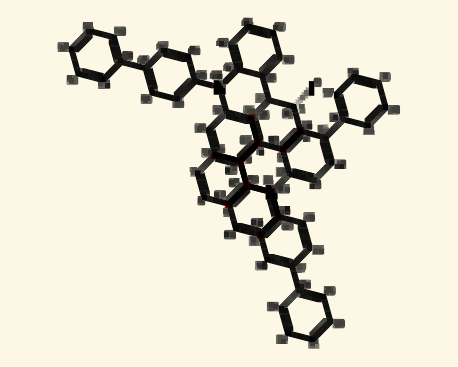 I[C@@H]1C=CC(c2ccccc2N(c2ccc(-c3ccccc3)cc2)c2ccc(-c3ccccc3)cc2)=CC1c1ccccc1N(c1ccc(-c2ccccc2)cc1)c1ccc(-c2ccccc2)cc1